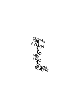 COCC(C)(C)COP(S)SCCC(=O)NCNC(=O)CCSP1(=S)OCC(C)(C)CO1